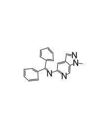 Cn1ncc2cc(N=C(c3ccccc3)c3ccccc3)ncc21